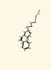 CCCCCCO[n+]1ccc2c(ccc3ccccc32)c1